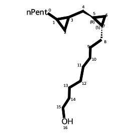 CCCCCC1CC1C[C@H]1C[C@@H]1CCCCCCCCO